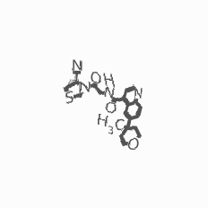 CC1(c2ccc3nccc(C(=O)NCC(=O)N4CSC[C@H]4C#N)c3c2)CCOCC1